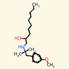 CCCCCCCCC(O)CNC(C)(C)Cc1ccc(OC)cc1